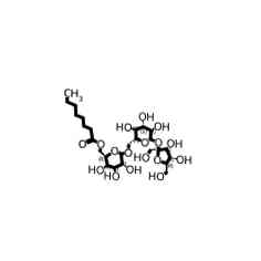 CCCCCCCC(=O)OC[C@H]1OC(OC[C@H]2OC(O[C@]3(CO)O[C@H](CO)[C@@H](O)[C@@H]3O)[C@H](O)[C@@H](O)[C@@H]2O)[C@H](O)[C@@H](O)[C@H]1O